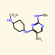 CC(C)(C)Nc1ncc([N+](=O)[O-])c(NC2CCC(NC(=O)O)CC2)n1